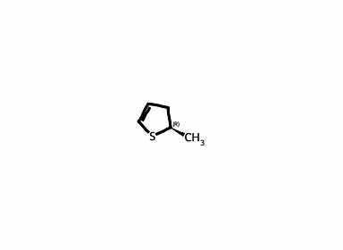 C[C@@H]1CC=CS1